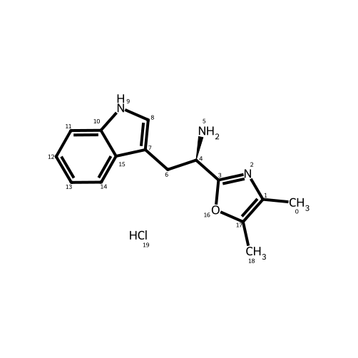 Cc1nc([C@H](N)Cc2c[nH]c3ccccc23)oc1C.Cl